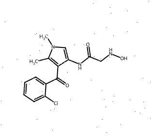 Cc1c(C(=O)c2ccccc2Cl)c(NC(=O)CNO)cn1C